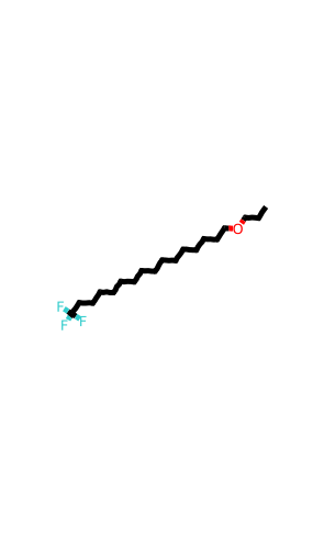 CCCOCCCCCCCCCCCCCCCC(F)(F)F